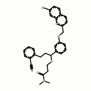 CN(C)C(=O)CCSC(CCc1ccccc1C#N)c1cccc(OCc2ccc3ccc(Cl)cc3n2)c1